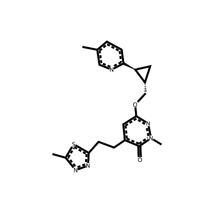 Cc1ccc([C@H]2C[C@@H]2COc2cc(CCc3nnc(C)s3)c(=O)n(C)n2)nc1